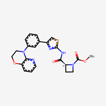 CC(C)(C)OC(=O)N1CC[C@H]1C(=O)Nc1nc(-c2cccc(N3CCOc4cccnc43)c2)cs1